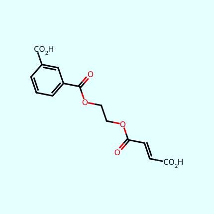 O=C(O)/C=C/C(=O)OCCOC(=O)c1cccc(C(=O)O)c1